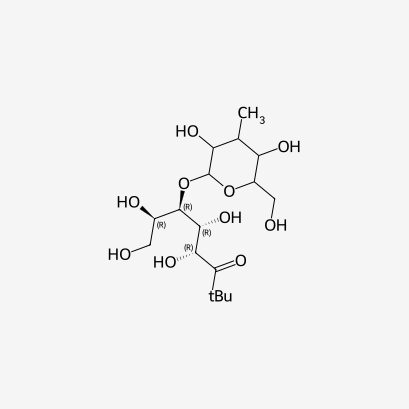 CC1C(O)C(CO)OC(O[C@@H]([C@H](O)[C@@H](O)C(=O)C(C)(C)C)[C@H](O)CO)C1O